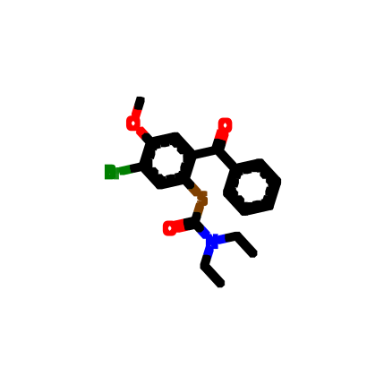 CCN(CC)C(=O)Sc1cc(Br)c(OC)cc1C(=O)c1ccccc1